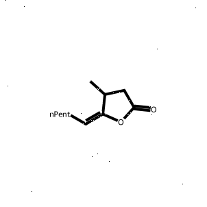 CCCCCC=C1OC(=O)CC1C